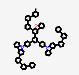 Cc1cccc(-c2cccc(-c3cccc(-c4cc(-c5cc(-c6ccc(-n7c8ccccc8c8cc(-c9cccc(-c%10cccc(-c%11ccccc%11)c%10)c9)ccc87)cc6)cc(-c6ccc(-n7c8ccccc8c8cc(-c9cccc(-c%10cccc(-c%11ccccc%11)c%10)c9)ccc87)cc6)c5)cc5c4oc4ccccc45)c3)c2)c1